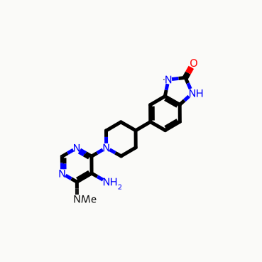 CNc1ncnc(N2CCC(c3ccc4c(c3)[N]C(=O)N4)CC2)c1N